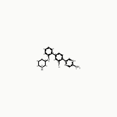 Nc1cnc(-c2ccc(-c3ccccc3OC3CCCNC3)cc2F)cn1